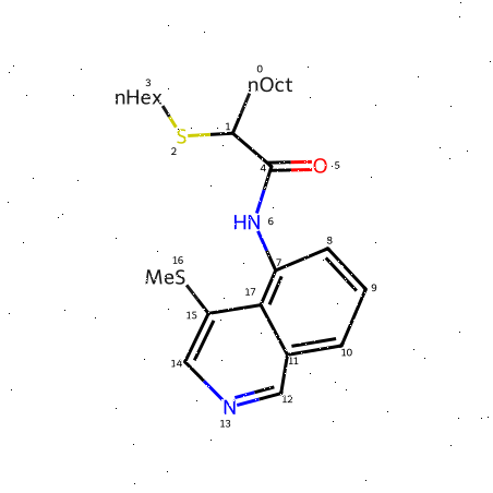 CCCCCCCCC(SCCCCCC)C(=O)Nc1cccc2cncc(SC)c12